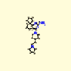 Nc1nc(N2CCC(CCN3CCCC3)CC2)c2c(n1)C1(CCCC1)CCC2